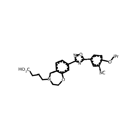 [C-]#[N+]c1cc(-c2nc(-c3ccc4c(c3)OCCN(CCCC(=O)O)C4)no2)ccc1OC(C)C